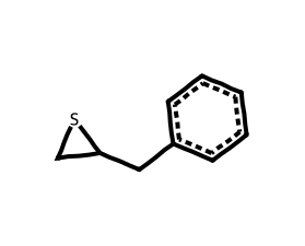 c1ccc(CC2CS2)cc1